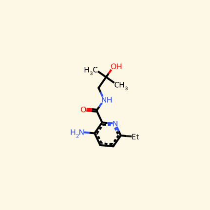 CCc1ccc(N)c(C(=O)NCC(C)(C)O)n1